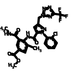 CNC(=O)c1cc(C(=O)OC)cc(C)c1NC(=O)c1cc(Cn2nnc(C(F)(F)F)n2)nn1-c1ccccc1Cl